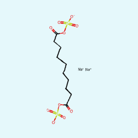 O=C(CCCCCCCCC(=O)OS(=O)(=O)[O-])OS(=O)(=O)[O-].[Na+].[Na+]